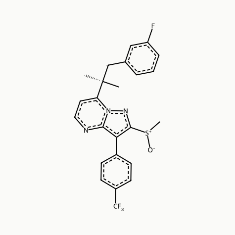 [CH2][C@@](C)([CH]c1cccc(F)c1)c1ccnc2c(-c3ccc(C(F)(F)F)cc3)c([S+](C)[O-])nn12